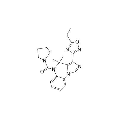 CCc1nc(-c2ncn3c2C(C)(C)N(C(=O)N2CCCC2)c2ccccc2-3)no1